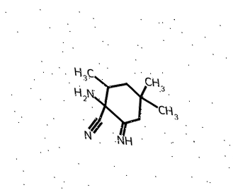 CC1CC(C)(C)CC(=N)C1(N)C#N